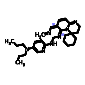 C=N/C=c1/ccc2n(/c1=N/CNc1ccc(N(CCC)CCC)cn1)C1(CCCCC1)CCN=2